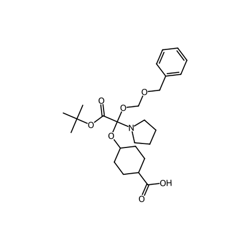 CC(C)(C)OC(=O)C(OCOCc1ccccc1)(OC1CCC(C(=O)O)CC1)N1CCCC1